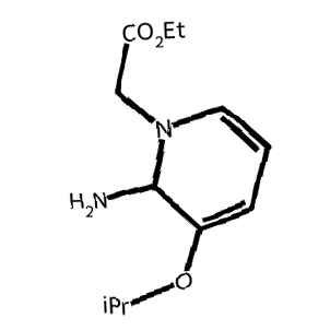 CCOC(=O)CN1C=CC=C(OC(C)C)C1N